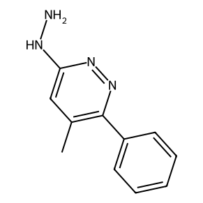 Cc1cc(NN)nnc1-c1ccccc1